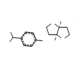 CCC(O)c1ccc(O[C@@H]2CO[C@H]3[C@@H]2OC[C@H]3OC)cc1